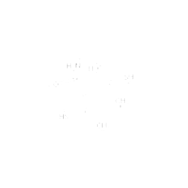 CC(S)C(C(N)=O)C(C)(C)S